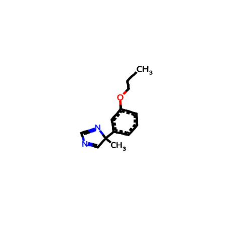 CCCOc1cccc(C2(C)C=NC=N2)c1